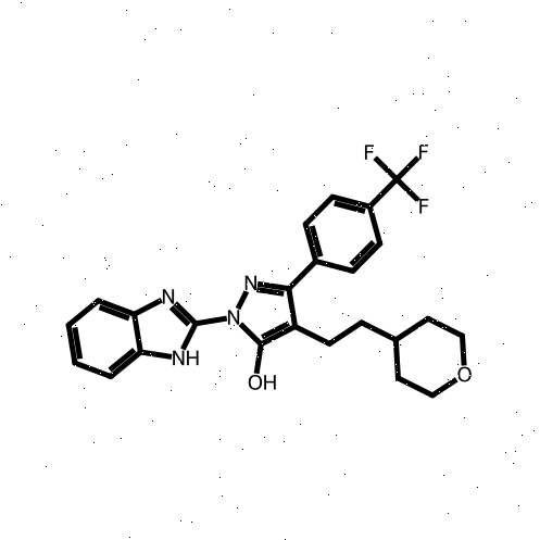 Oc1c(CCC2CCOCC2)c(-c2ccc(C(F)(F)F)cc2)nn1-c1nc2ccccc2[nH]1